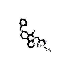 CN/C=C\C(=N)Cn1c(=O)c2c(c3cccnc31)CCN(Cc1ccccc1)C2